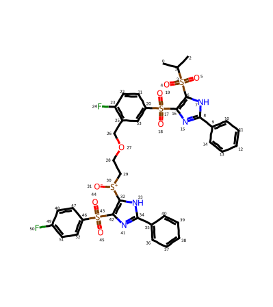 CC(C)S(=O)(=O)c1[nH]c(-c2ccccc2)nc1S(=O)(=O)c1ccc(F)c(COCC[S+]([O-])c2[nH]c(-c3ccccc3)nc2S(=O)(=O)c2ccc(F)cc2)c1